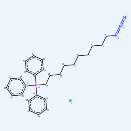 [Br-].[N-]=[N+]=NCCCCCCCCCC[P+](c1ccccc1)(c1ccccc1)c1ccccc1